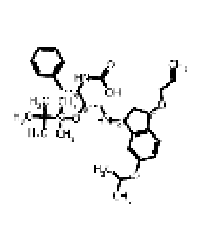 C=CCO[C@@H]1C[C@H](NC[C@H](O[Si](C)(C)C(C)(C)C)[C@H](Cc2ccccc2)NC(=O)O)c2cc(OC(C)C)ccc21